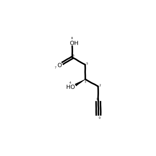 C#CC[C@@H](O)CC(=O)O